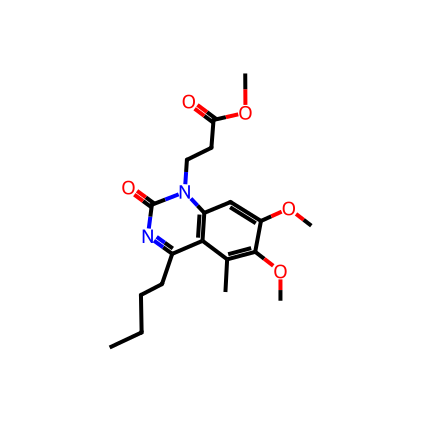 CCCCc1nc(=O)n(CCC(=O)OC)c2cc(OC)c(OC)c(C)c12